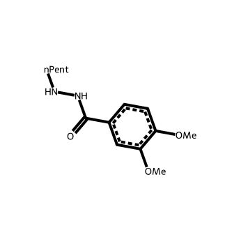 CCCCCNNC(=O)c1ccc(OC)c(OC)c1